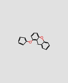 [CH]1c2ccccc2Oc2cccc(Oc3ccccc3)c21